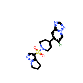 O=S(=O)(c1cnn2c1CCC2)N1CC=C(c2cc3ncnn3cc2Cl)CC1